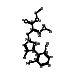 CCOC(=O)C(Cn1cc(C)c(-c2c(F)cccc2F)n1)=NOC